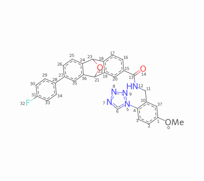 COc1ccc(-n2cnnn2)c(CNC(=O)c2ccc3c(c2)C2OC3c3ccc(-c4ccc(F)cc4)cc32)c1